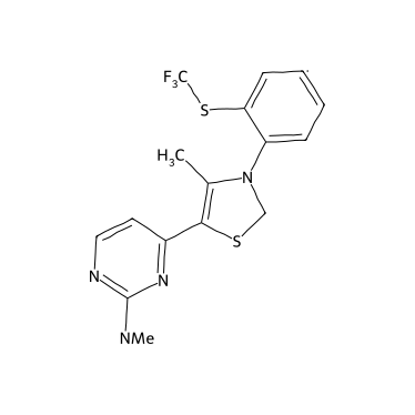 CNc1nccc(C2=C(C)N(c3cc[c]cc3SC(F)(F)F)CS2)n1